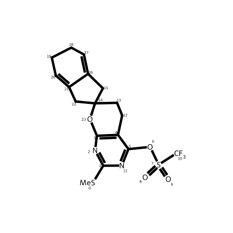 CSc1nc2c(c(OS(=O)(=O)C(F)(F)F)n1)CCC1(CC3=CCCC=C3C1)O2